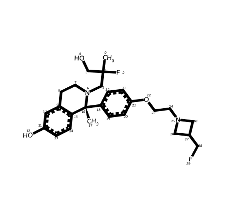 CC(F)(CO)CN1CCc2cc(O)ccc2[C@@]1(C)c1ccc(OCCN2CC(CF)C2)cc1